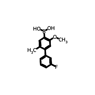 COc1cc(-c2cccc(F)c2)c(C)cc1B(O)O